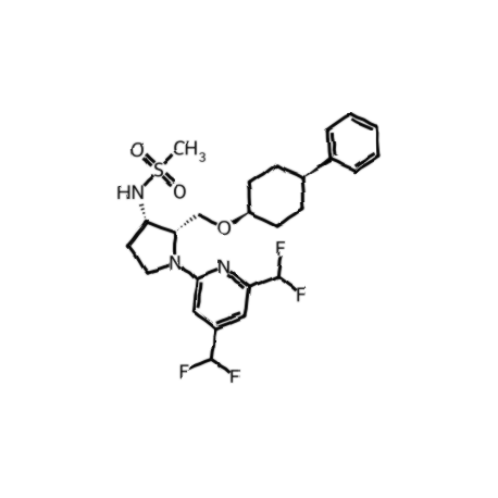 CS(=O)(=O)N[C@H]1CCN(c2cc(C(F)F)cc(C(F)F)n2)[C@H]1CO[C@H]1CC[C@@H](c2ccccc2)CC1